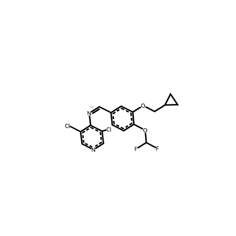 FC(F)Oc1ccc(/C=N\c2c(Cl)cncc2Cl)cc1OCC1CC1